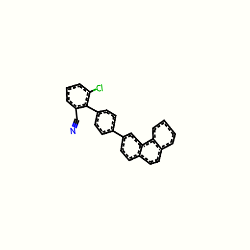 N#Cc1cccc(Cl)c1-c1ccc(-c2ccc3ccc4ccccc4c3c2)cc1